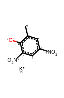 Cc1cc([N+](=O)[O-])cc([N+](=O)[O-])c1[O-].[K+]